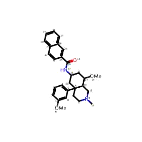 COc1cccc(C23CCN(C)CC2C(OC)CC(NC(=O)c2ccc4ccccc4c2)C3)c1